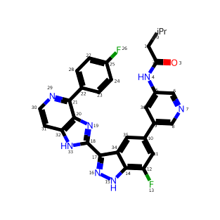 CC(C)CC(=O)Nc1cncc(-c2cc(F)c3[nH]nc(-c4nc5c(-c6ccc(F)cc6)nccc5[nH]4)c3c2)c1